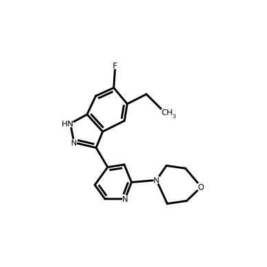 CCc1cc2c(-c3ccnc(N4CCOCC4)c3)n[nH]c2cc1F